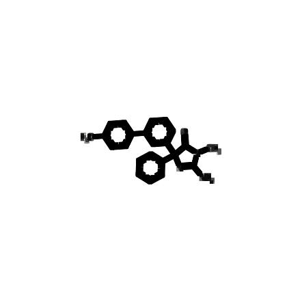 CN1C(=O)C(c2ccccc2)(c2cccc(-c3ccc(C(F)(F)F)cc3)c2)N=C1N